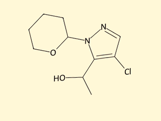 CC(O)c1c(Cl)cnn1C1CCCCO1